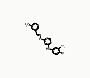 Fc1ccc(Nc2ncnc(N/N=C/c3cccc(C(F)(F)F)c3)n2)cc1C(F)(F)F